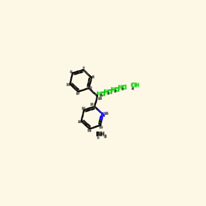 Cl.Cl.Cl.Cl.Cl.[BiH3].c1ccc(Cc2ccccn2)cc1